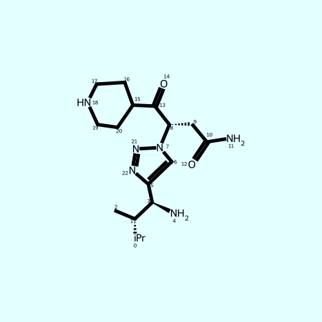 CC(C)[C@H](C)[C@H](N)c1cn([C@@H](CC(N)=O)C(=O)C2CCNCC2)nn1